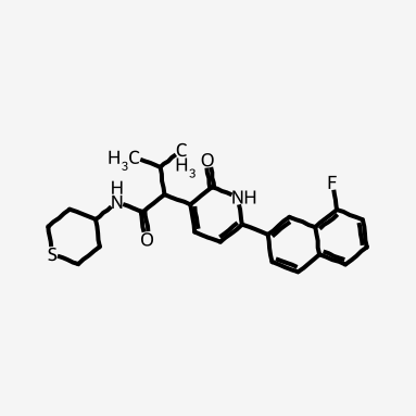 CC(C)C(C(=O)NC1CCSCC1)c1ccc(-c2ccc3cccc(F)c3c2)[nH]c1=O